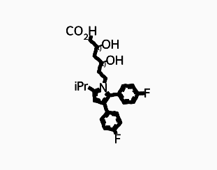 CC(C)c1cc(-c2ccc(F)cc2)c(-c2ccc(F)cc2)n1CC[C@@H](O)C[C@@H](O)CC(=O)O